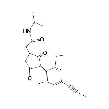 CC#Cc1cc(C)c(C2C(=O)CC(CC(=O)NC(C)C)C2=O)c(CC)c1